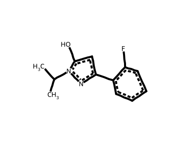 CC(C)n1nc(-c2ccccc2F)cc1O